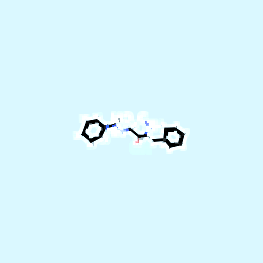 O=C(O)N[C@@H](Cc1ccccc1)[C@@H](O)CNCc1ccccc1